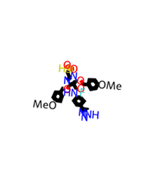 COc1ccc(COc2nc(C[SH](=O)=O)nc(OCc3ccc(OC)cc3)c2C(=O)Nc2ccc(-c3c[nH]nn3)cc2F)cc1